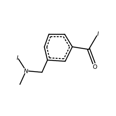 CN(I)Cc1cccc(C(=O)I)c1